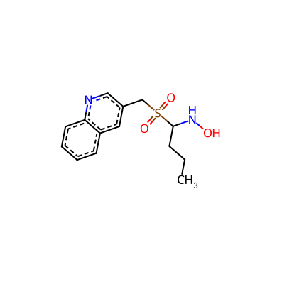 CCCC(NO)S(=O)(=O)Cc1cnc2ccccc2c1